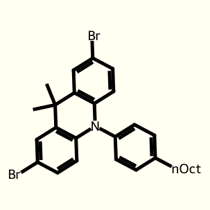 CCCCCCCCc1ccc(N2c3ccc(Br)cc3C(C)(C)c3cc(Br)ccc32)cc1